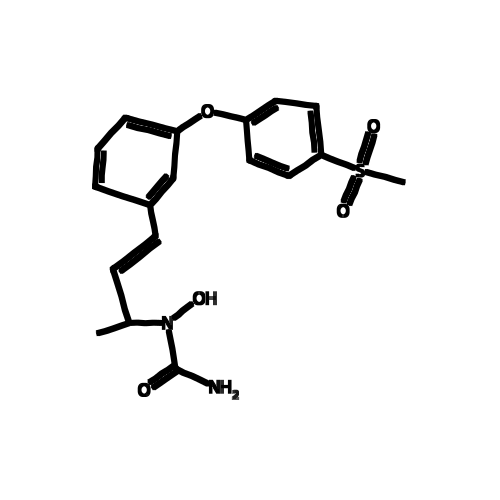 CC(C=Cc1cccc(Oc2ccc(S(C)(=O)=O)cc2)c1)N(O)C(N)=O